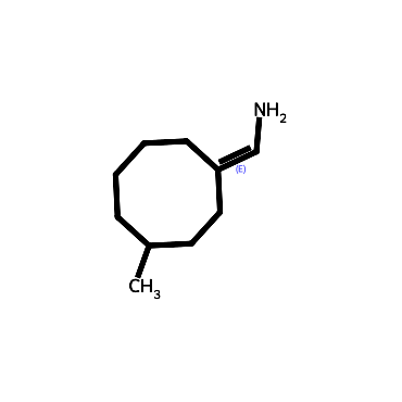 CC1CCCC/C(=C\N)CC1